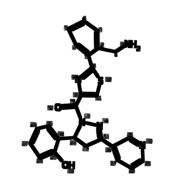 NCc1ccccc1-c1nc(C(=O)N2N=C(c3cccnc3)CC2c2ccccc2O)cs1